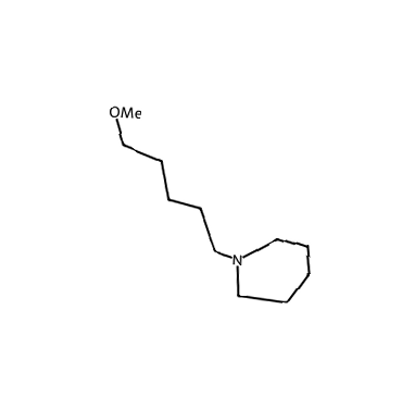 COCCCCCN1CCCCC1